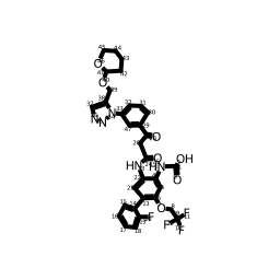 O=C(O)Nc1cc(OCC(F)(F)F)c(-c2ccccc2F)cc1NC(=O)CC(=O)c1cccc(-n2nncc2COC2CCCCO2)c1